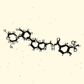 Cc1ccc(C(=O)NCc2cc3nc(-c4ccc(I)c(N5C[C@@H](C)O[C@@H](C)C5)n4)ccc3cn2)cc1S(C)(=O)=O